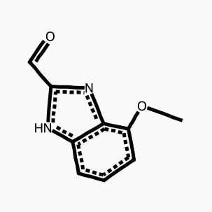 COc1cccc2[nH]c(C=O)nc12